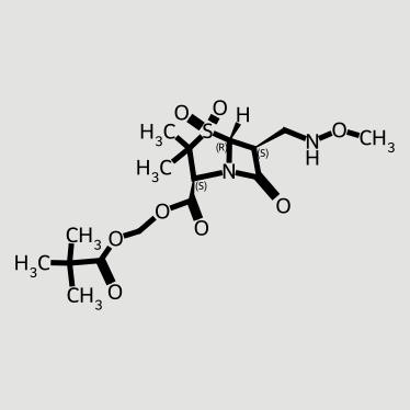 CONC[C@H]1C(=O)N2[C@@H](C(=O)OCOC(=O)C(C)(C)C)C(C)(C)S(=O)(=O)[C@H]12